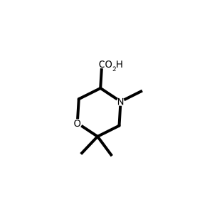 CN1CC(C)(C)OCC1C(=O)O